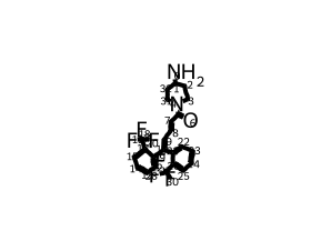 NC1CCN(C(=O)C=CC=C(c2ccccc2C(F)(F)F)c2ccccc2C(F)(F)F)CC1